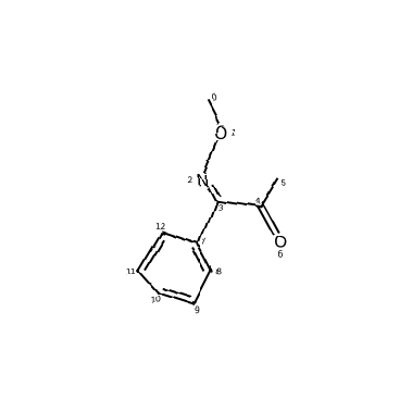 CON=C(C(C)=O)c1ccccc1